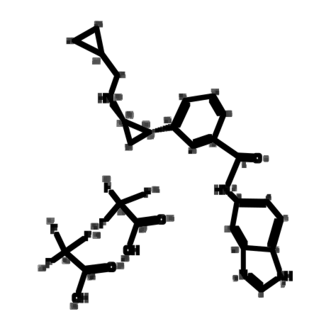 O=C(Nc1ccc2[nH]cnc2c1)c1cccc([C@@H]2C[C@H]2NCC2CC2)c1.O=C(O)C(F)(F)F.O=C(O)C(F)(F)F